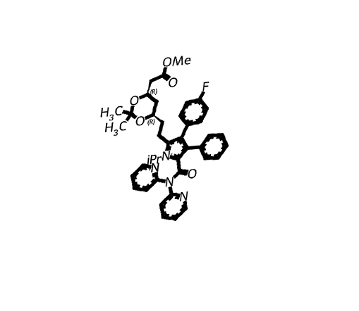 COC(=O)C[C@H]1C[C@@H](CCc2c(-c3ccc(F)cc3)c(-c3ccccc3)c(C(=O)N(c3ccccn3)c3ccccn3)n2C(C)C)OC(C)(C)O1